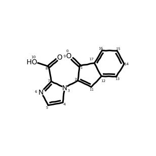 O=C1C(n2ccnc2C(=O)O)=Cc2ccccc21